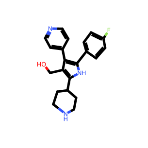 OCc1c(C2CCNCC2)[nH]c(-c2ccc(F)cc2)c1-c1ccncc1